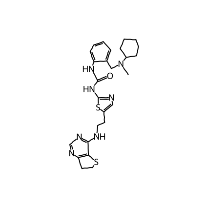 CN(Cc1ccccc1NC(=O)Nc1ncc(CCNc2ncnc3c2SCC3)s1)C1CCCCC1